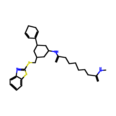 C=C(CCCCCCC(=C)NC1CC(CSc2nc3ccccc3s2)CC(C2=CCCC=C2)C1)NC